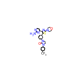 Nc1nccc(-c2nc(N3CCOCC3)sc2C2C=CC=C(N3CCN(c4ccc(C(F)(F)F)cc4)C3=O)C2)n1